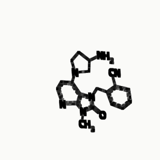 Cn1c(=O)n(Cc2ccccc2C#N)c2c(N3CCC(N)C3)ccnc21